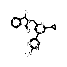 O=C1c2ccccc2C(=O)N1Cc1cc(-c2cnc(C(F)(F)F)nc2)cc(C2CC2)n1